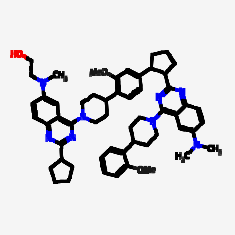 COc1cc(C2CCCC2c2nc(N3CCC(c4ccccc4OC)CC3)c3cc(N(C)C)ccc3n2)ccc1C1CCN(c2nc(C3CCCC3)nc3ccc(N(C)CCO)cc23)CC1